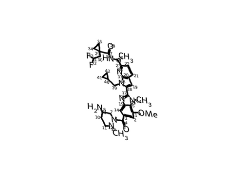 COc1cc(C(=O)N2C[C@H](N)CCN2C)cc2nc(-c3cc4ccc([C@@H](C)NC(=O)C5(CC(F)F)CC5)nc4n3CC3CC3)n(C)c12